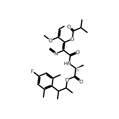 C=N/C(C(=O)N[C@@H](C)C(=O)OC(C)C(C)c1c(C)cc(F)cc1C)=C(OC(=O)C(C)C)\C(=C/C)OC